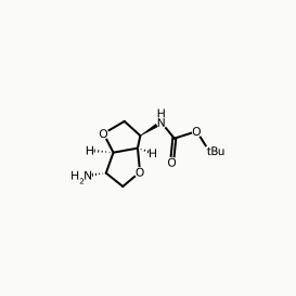 CC(C)(C)OC(=O)N[C@@H]1CO[C@H]2[C@@H]1OC[C@@H]2N